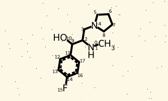 CNC(CN1CCCC1)C(O)c1ccc(F)cc1